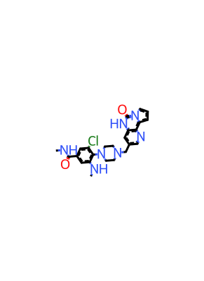 CNC(=O)c1cc(Cl)c(N2CCN(Cc3cnc4c(c3)[nH]c(=O)n3cccc43)CC2)c(NC)c1